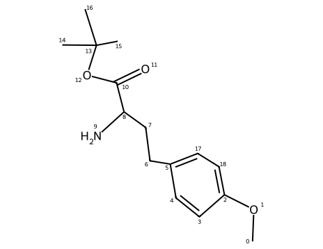 COc1ccc(CCC(N)C(=O)OC(C)(C)C)cc1